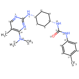 Cc1cnc(N[C@H]2CC[C@@H](NC(=O)Nc3ccc(C(F)(F)F)cc3)CC2)nc1N(C)C